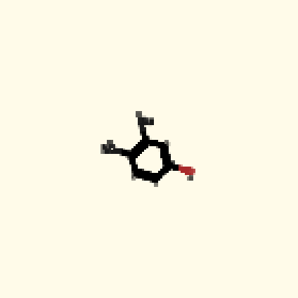 CC(C)(C)c1cc(Br)ccc1C#N